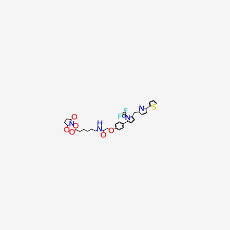 CN1C(Cc2ccc(-c3ccc(OCC(=O)NCCCCCC(=O)ON4C(=O)CCC4=O)cc3)n2B(F)F)C=CC1c1cccs1